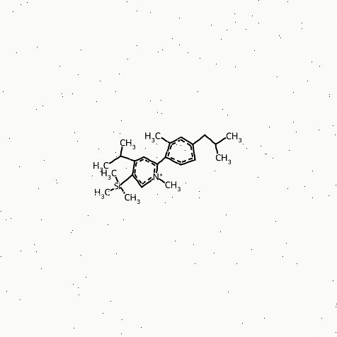 Cc1cc(CC(C)C)ccc1-c1cc(C(C)C)c([Si](C)(C)C)c[n+]1C